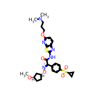 CO[C@@H]1CC[C@@H](O/N=C(/C(=O)Nc2nc3ccc(OCCCN(C)C)nc3s2)c2ccc(S(=O)(=O)C3CC3)cc2)C1